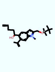 C=CCCC(O)c1cc2cc(CO[Si](C)(C)C(C)(C)C)n(C)c2cc1C(=C)C